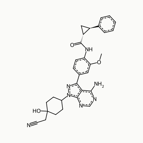 COc1cc(-c2nn(C3CCC(O)(CC#N)CC3)c3ncnc(N)c23)ccc1NC(=O)[C@@H]1C[C@H]1c1ccccc1